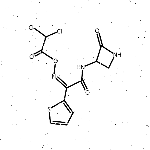 O=C(NC1CNC1=O)C(=NOC(=O)C(Cl)Cl)c1cccs1